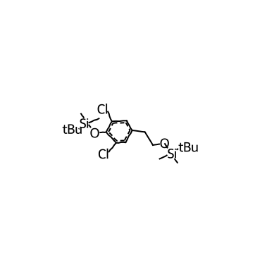 CC(C)(C)[Si](C)(C)OCCc1cc(Cl)c(O[Si](C)(C)C(C)(C)C)c(Cl)c1